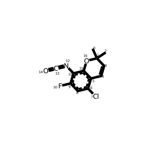 CC1(C)C=Cc2c(Cl)cc(F)c(N=C=O)c2O1